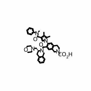 Cc1c(C(=O)N(C)c2ccccc2)cn(-c2cc3c(cc2C(=O)N2Cc4ccccc4C[C@H]2CN2CCOCC2)CN(C(=O)O)CC3)c1C